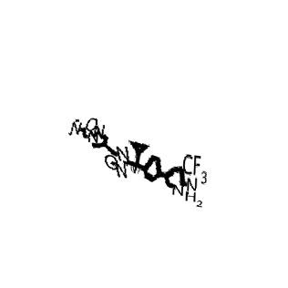 CN(C)C(=O)Cn1cc(-c2nc([C@@](C)(c3ccc(-c4cnc(N)c(C(F)(F)F)c4)cc3)C3CC3)no2)cn1